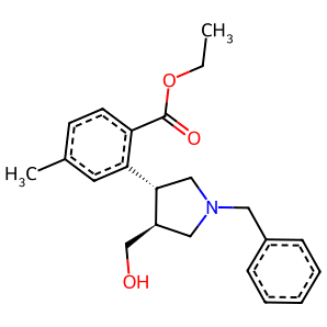 CCOC(=O)c1ccc(C)cc1[C@@H]1CN(Cc2ccccc2)C[C@H]1CO